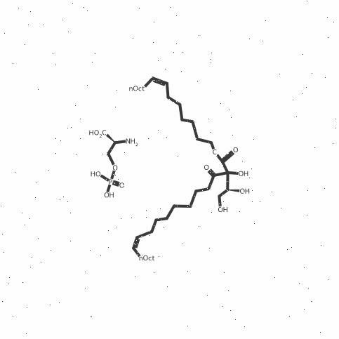 CCCCCCCC/C=C\CCCCCCCC(=O)C(O)(C(=O)CCCCCCC/C=C\CCCCCCCC)[C@@H](O)CO.N[C@@H](COP(=O)(O)O)C(=O)O